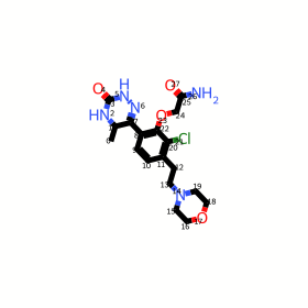 CC1NC(=O)NN=C1c1ccc(CCN2CCOCC2)c(Cl)c1OCC(N)=O